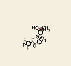 C[C@H]1CC2CC(S(=O)(=O)c3cc(C(=O)Nc4cc(F)c(F)c(F)c4)ccc3Cl)CC1[C@]2(O)CO